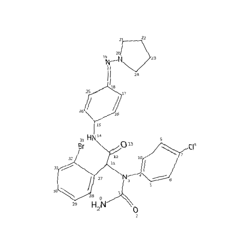 NC(=O)N(c1ccc(Cl)cc1)C(C(=O)NC1C=CC(=NN2CCCC2)C=C1)c1ccccc1Br